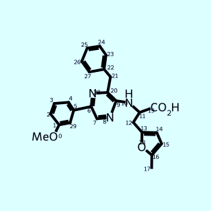 COc1cccc(-c2cnc(NC(Cc3ccc(C)o3)C(=O)O)c(Cc3ccccc3)n2)c1